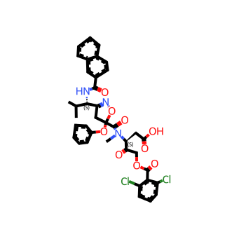 CC(C)[C@H](NC(=O)c1ccc2ccccc2c1)C1=NOC(Oc2ccccc2)(C(=O)N(C)[C@@H](CC(=O)O)C(=O)COC(=O)c2c(Cl)cccc2Cl)C1